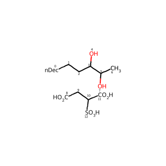 CCCCCCCCCCCCC(O)C(C)O.O=C(O)CC(C(=O)O)S(=O)(=O)O